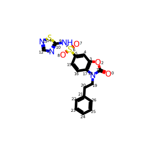 O=c1oc2cc(S(=O)(=O)Nc3ncns3)ccc2n1CCc1ccccc1